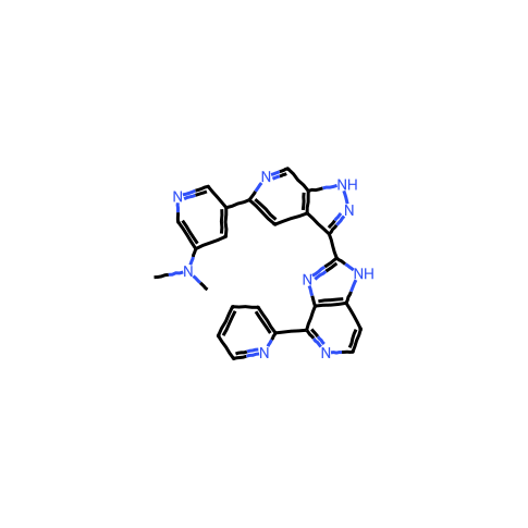 CN(C)c1cncc(-c2cc3c(-c4nc5c(-c6ccccn6)nccc5[nH]4)n[nH]c3cn2)c1